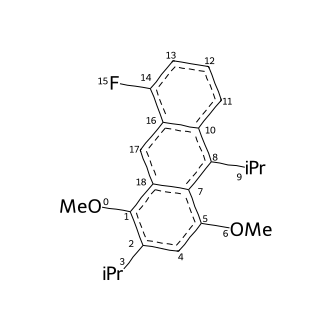 COc1c(C(C)C)cc(OC)c2c(C(C)C)c3cccc(F)c3cc12